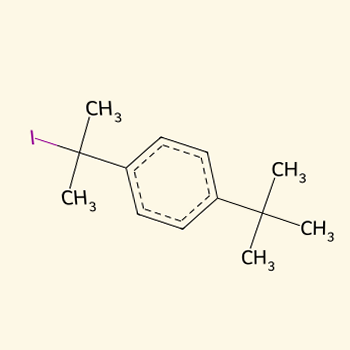 CC(C)(C)c1ccc(C(C)(C)I)cc1